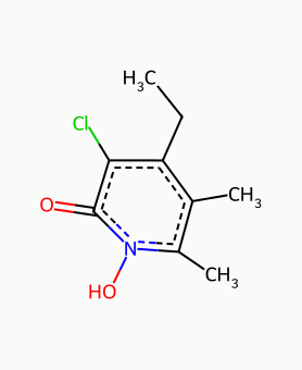 CCc1c(C)c(C)n(O)c(=O)c1Cl